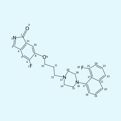 O=C1N=Cc2cc(F)c(OCCCN3CCN(c4cccc5cccc(F)c45)CC3)cc21